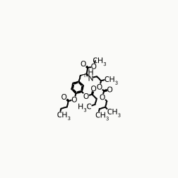 CCCC(=O)Oc1ccc(C[C@H](NCC(C)OC(=O)OCC(C)CC)C(=O)OC)cc1OC(=O)CCC